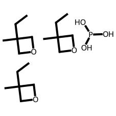 CCC1(C)COC1.CCC1(C)COC1.CCC1(C)COC1.OP(O)O